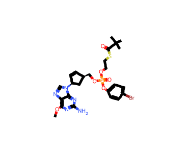 COc1nc(N)nc2c1ncn2[C@H]1C=C[C@@H](COP(=O)(OCCSC(=O)C(C)(C)C)Oc2ccc(Br)cc2)C1